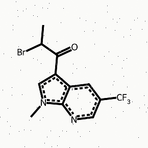 CC(Br)C(=O)c1cn(C)c2ncc(C(F)(F)F)cc12